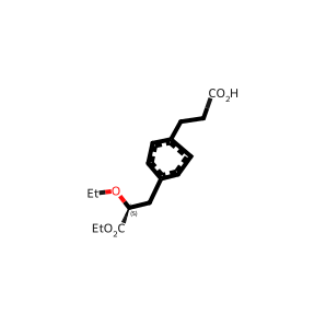 CCOC(=O)[C@H](Cc1ccc(CCC(=O)O)cc1)OCC